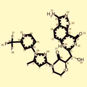 Cc1cc(N2CCO[C@H]([C@@H](O)c3nc(=O)c4c(ccc5c(N)nsc54)[nH]3)C2=O)nn1-c1ccnc(C(F)(F)F)c1